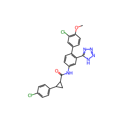 COc1ccc(-c2ccc(NC(=O)C3CC3c3ccc(Cl)cc3)cc2-c2nnn[nH]2)cc1Cl